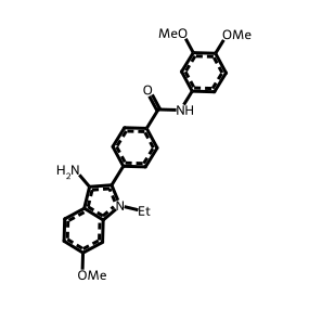 CCn1c(-c2ccc(C(=O)Nc3ccc(OC)c(OC)c3)cc2)c(N)c2ccc(OC)cc21